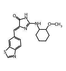 COC1CCCCC1NC1=N/C(=C\c2ccc3ncsc3c2)C(=O)N1